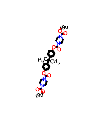 CC(C)(C)OC(=O)N1CCN(C(=O)Oc2ccc(C(C)(C)c3ccc(OC(=O)N4CCN(C(=O)OC(C)(C)C)CC4)cc3)cc2)CC1